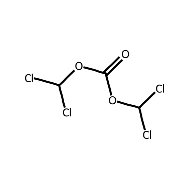 O=C(OC(Cl)Cl)OC(Cl)Cl